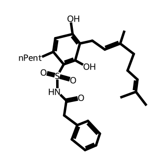 CCCCCc1cc(O)c(C/C=C(\C)CCC=C(C)C)c(O)c1S(=O)(=O)NC(=O)Cc1ccccc1